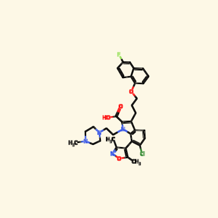 Cc1noc(C)c1-c1c(Cl)ccc2c(CCCOc3cccc4cc(F)ccc34)c(C(=O)O)n(CCN3CCN(C)CC3)c12